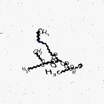 CCCCC/C=C\CC=CCCCCCCCC(=O)OCC(COC(=O)CCC(OCCCCCCCC)OCCCCCCCC)COC(=O)OCC(CCCCCC)OC(=O)NCCN1CCCC1